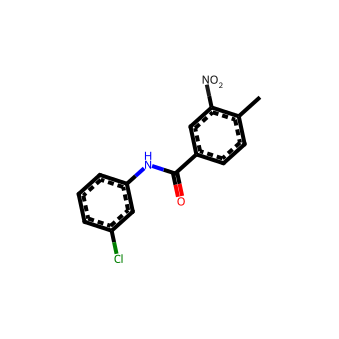 Cc1ccc(C(=O)Nc2cccc(Cl)c2)cc1[N+](=O)[O-]